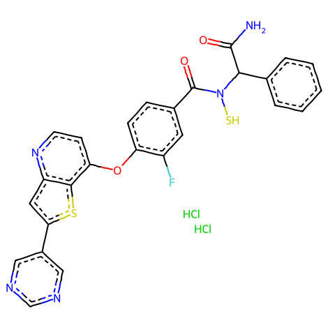 Cl.Cl.NC(=O)C(c1ccccc1)N(S)C(=O)c1ccc(Oc2ccnc3cc(-c4cncnc4)sc23)c(F)c1